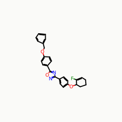 FC1=CCCCC1Oc1ccc(-c2noc(-c3ccc(OCc4ccccc4)cc3)n2)cc1